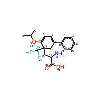 CC(C)OC1=CC=C(c2ccccc2)CC1(CC(N)C(=O)O)C(F)(F)F